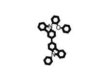 c1ccc(Oc2ccccc2-n2c3ccccc3c3cc(-c4ccc5c(c4)c4ccccc4n5-c4ccccc4)ccc32)cc1